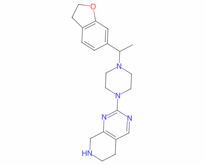 CC(c1ccc2c(c1)OCC2)N1CCN(c2ncc3c(n2)CNCC3)CC1